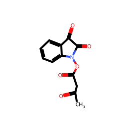 CC(=O)CC(=O)ON1C(=O)C(=O)c2ccccc21